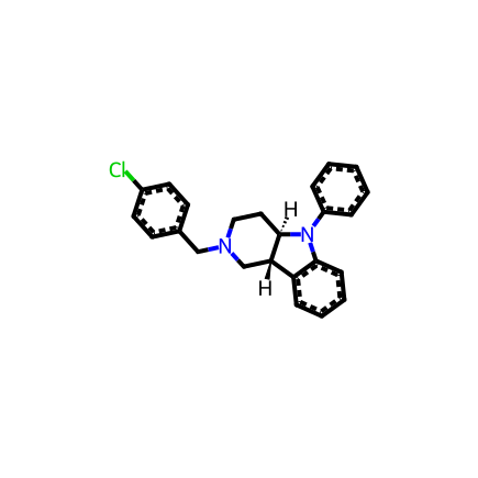 Clc1ccc(CN2CC[C@@H]3[C@@H](C2)c2ccccc2N3c2ccccc2)cc1